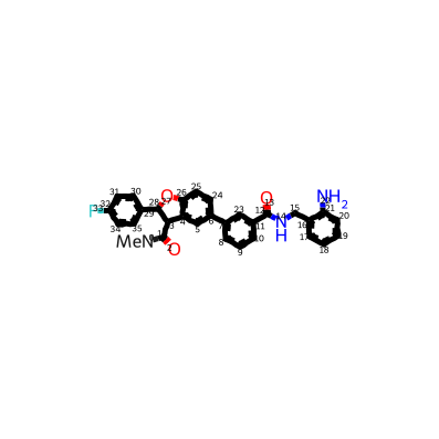 CNC(=O)C1c2cc(-c3cccc(C(=O)NCc4ccccc4N)c3)ccc2OC1c1ccc(F)cc1